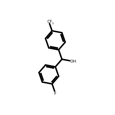 OC(c1ccc(C(F)(F)F)cc1)c1cccc(F)c1